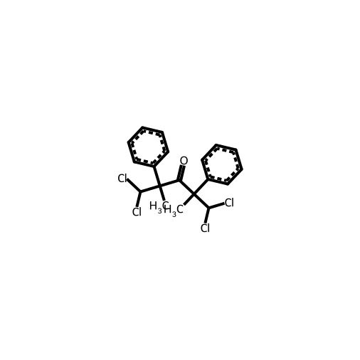 CC(C(=O)C(C)(c1ccccc1)C(Cl)Cl)(c1ccccc1)C(Cl)Cl